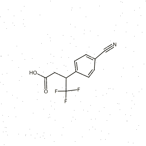 N#Cc1ccc(C(CC(=O)O)C(F)(F)F)cc1